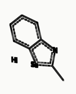 Cc1nc2ccccc2[se]1.I